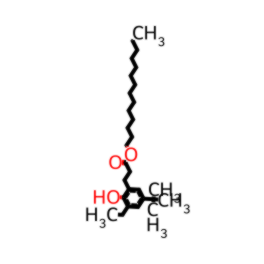 CCCCCCCCCCCCCCOC(=O)CCc1cc(C(C)(C)C)cc(CC)c1O